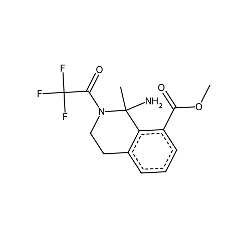 COC(=O)c1cccc2c1C(C)(N)N(C(=O)C(F)(F)F)CC2